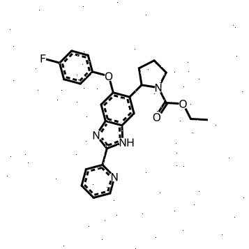 CCOC(=O)N1CCCC1c1cc2[nH]c(-c3ccccn3)nc2cc1Oc1ccc(F)cc1